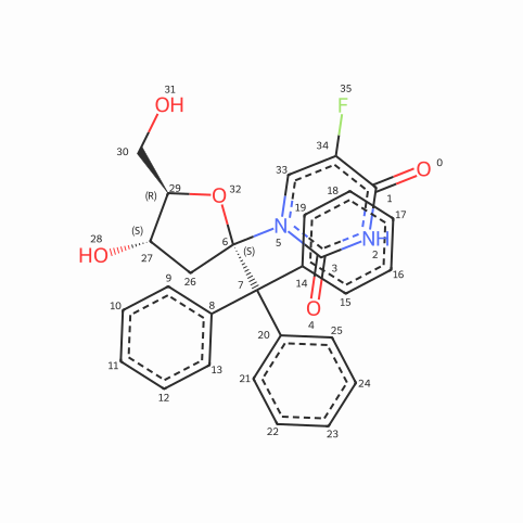 O=c1[nH]c(=O)n([C@@]2(C(c3ccccc3)(c3ccccc3)c3ccccc3)C[C@H](O)[C@@H](CO)O2)cc1F